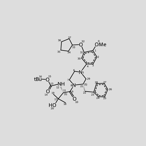 COc1ccc(N2CCN(C(=O)[C@@H](NC(=O)OC(C)(C)C)C(C)(C)O)[C@@H](Cc3ccccc3)C2)cc1OC1CCCC1